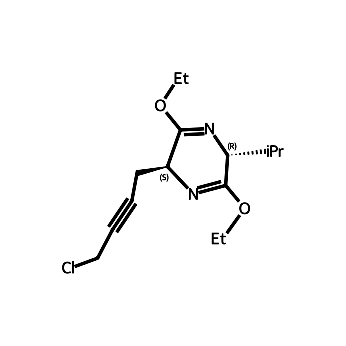 CCOC1=N[C@H](C(C)C)C(OCC)=N[C@H]1CC#CCCl